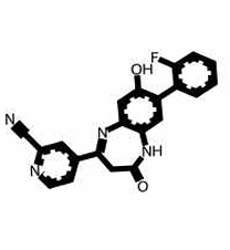 N#Cc1cc(C2=Nc3cc(O)c(-c4ccccc4F)cc3NC(=O)C2)ccn1